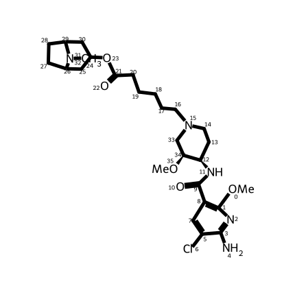 COc1nc(N)c(Cl)cc1C(=O)N[C@@H]1CCN(CCCCCC(=O)OC2CC3CCC(C2)N3C)C[C@@H]1OC